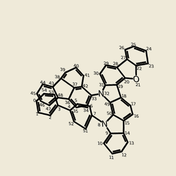 c1ccc(-c2ccc(-n3c4ccccc4c4ccc5c6c7oc8ccccc8c7ccc6n(-c6ccc7c8c(cccc68)-c6ccccc6-7)c5c43)cc2)cc1